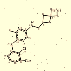 Cc1nc(NCC2CC3(CNC3)C2)cnc1Sc1cccc(Cl)c1Cl